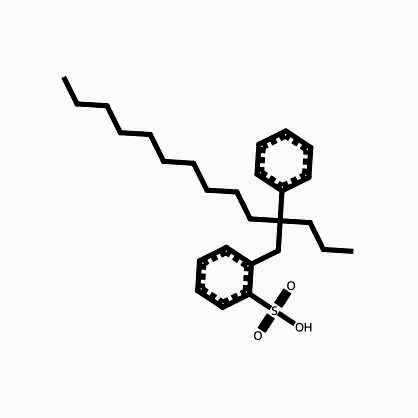 CCCCCCCCCCC(CCC)(Cc1ccccc1S(=O)(=O)O)c1ccccc1